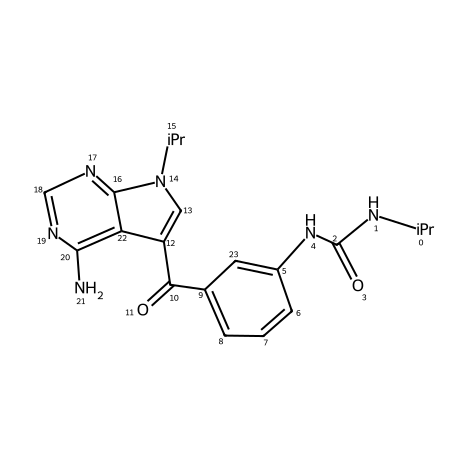 CC(C)NC(=O)Nc1cccc(C(=O)c2cn(C(C)C)c3ncnc(N)c23)c1